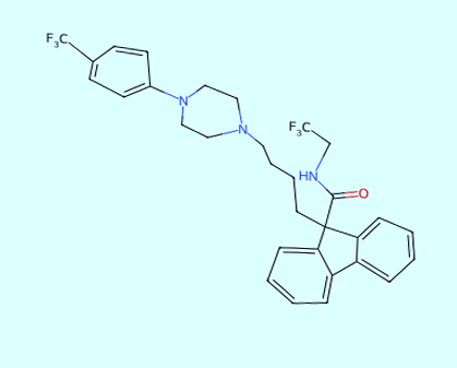 O=C(NCC(F)(F)F)C1(CCCCN2CCN(c3ccc(C(F)(F)F)cc3)CC2)c2ccccc2-c2ccccc21